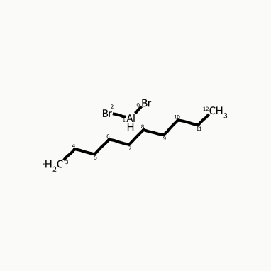 [Br][AlH][Br].[CH2]CCCCCCCCC